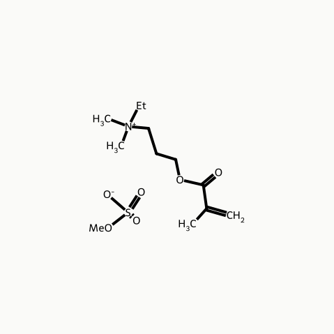 C=C(C)C(=O)OCCC[N+](C)(C)CC.COS(=O)(=O)[O-]